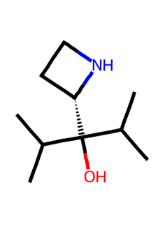 CC(C)C(O)(C(C)C)[C@@H]1CCN1